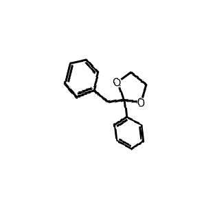 c1ccc(CC2(c3ccccc3)OCCO2)cc1